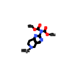 CC(C)(C)OC(=O)N(C(=O)OC(C)(C)C)c1ncc2c(n1)CCN(C(=O)O)C2